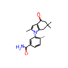 Cc1ccc(C(N)=O)cc1-n1c(C)cc2c1CC(C)(C)CC2=O